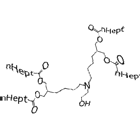 CCCCCCCC(=O)OCC(CCCCN(CCO)CCCCC(COC(=O)CCCCCCC)COC(=O)CCCCCCC)COC(=O)CCCCCCC